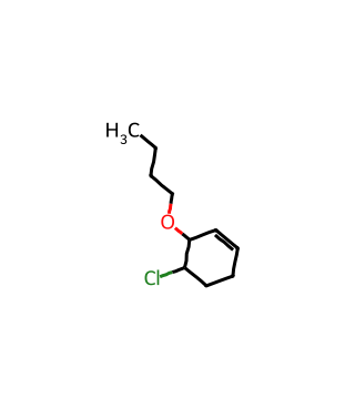 CCCCOC1C=CCCC1Cl